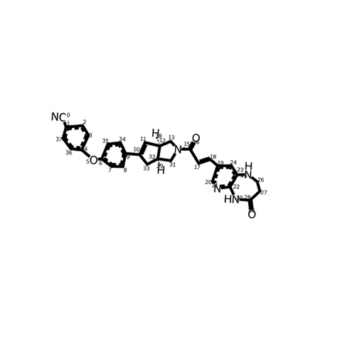 N#Cc1ccc(Oc2ccc(C3=C[C@H]4CN(C(=O)/C=C/c5cnc6c(c5)NCCC(=O)N6)C[C@H]4C3)cc2)cc1